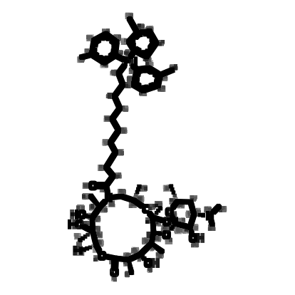 CC[C@H]1OC(=O)[C@H](C)[C@@H](O)[C@H](C)[C@@H](O[C@@H]2O[C@H](C)C[C@H](N(C)C)[C@H]2O)[C@](C)(O)C[C@@H](C)CN(C(=O)CCCCCCCCCC[PH](c2cccc(C)c2)(c2cccc(C)c2)c2cccc(C)c2)[C@H](C)[C@@H](O)[C@]1(C)O